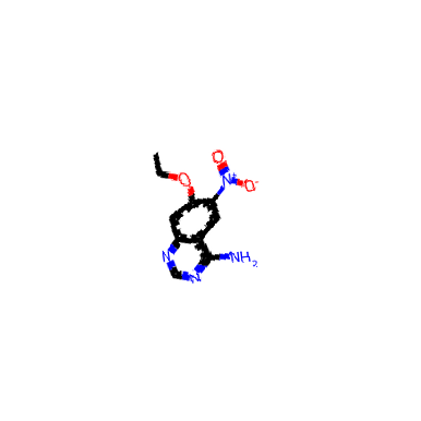 CCOc1cc2ncnc(N)c2cc1[N+](=O)[O-]